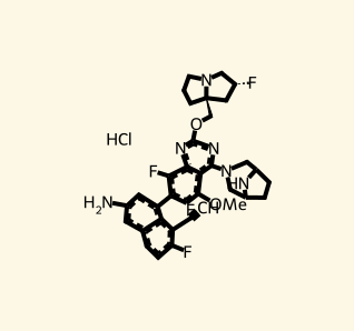 C#Cc1c(F)ccc2cc(N)cc(-c3c(F)c(OC)c4c(N5CC6CCC(C5)N6)nc(OC[C@@]56CCCN5C[C@H](F)C6)nc4c3F)c12.Cl